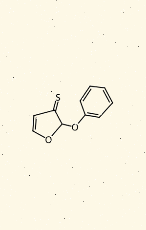 S=C1C=COC1Oc1ccccc1